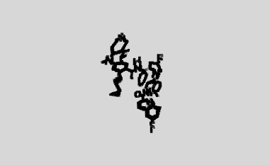 C[C@H](NC(=O)[C@@H]1C[C@@H](F)CN1C(=O)CNC(=O)c1ccc2cc(F)ccc2n1)c1cc(F)c(N(C)C2CCN(C)CC2)cc1/C=C/C1CC1